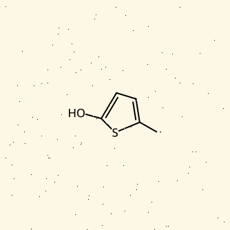 [CH2]c1ccc(O)s1